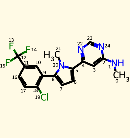 CNc1cc(-c2ccc(-c3cc(C(F)(F)F)ccc3Cl)n2C)ncn1